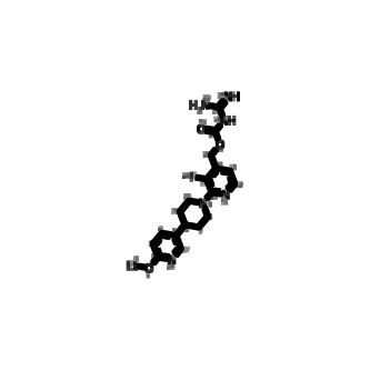 CCOc1ccc(C2CCN(c3nccc(COC(=O)NC(=N)N)c3F)CC2)cn1